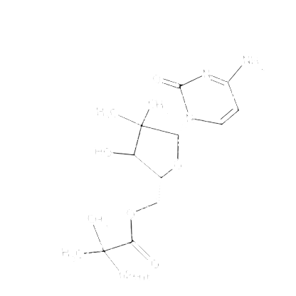 CCCCCC(C)(C)C(=O)OC[C@H]1O[C@@H](n2ccc(N)nc2=O)C(C)(C)C1O